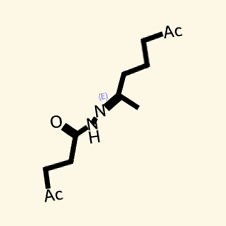 CC(=O)CCC/C(C)=N/NC(=O)CCC(C)=O